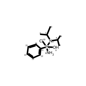 CC(C)N(C(C)C)P(N)(O)(Cl)c1ccccc1